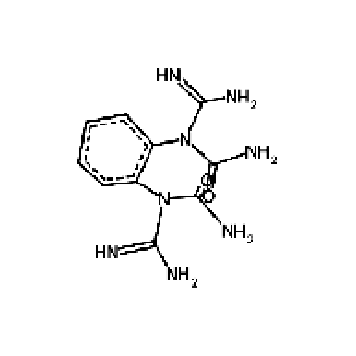 N=C(N)N(C(N)=O)c1ccccc1N(C(=N)N)C(N)=O